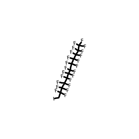 FC(F)(F)C(F)(F)C(F)(F)C(F)(F)C(F)(F)C(F)(F)C(F)(F)C(F)(F)C(F)(F)C(F)(F)C(F)(F)CI